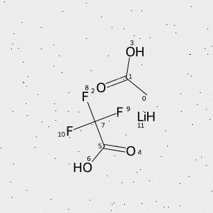 CC(=O)O.O=C(O)C(F)(F)F.[LiH]